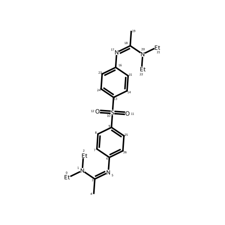 CCN(CC)C(C)=Nc1ccc(S(=O)(=O)c2ccc(N=C(C)N(CC)CC)cc2)cc1